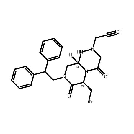 C#CCN1CC(=O)N2[C@H](CN(CC(c3ccccc3)c3ccccc3)C(=O)[C@@H]2CC(C)C)N1